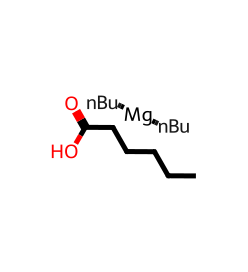 CCCCCC(=O)O.CCC[CH2][Mg][CH2]CCC